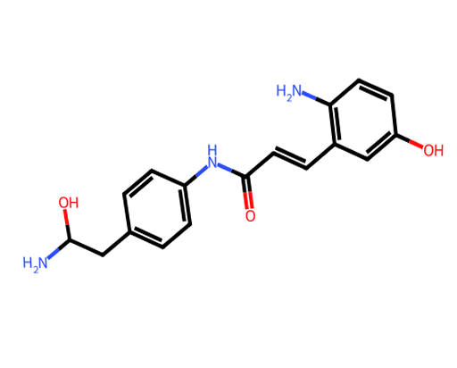 Nc1ccc(O)cc1C=CC(=O)Nc1ccc(CC(N)O)cc1